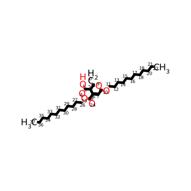 C=CC(C(=O)O)/C(=C\C(=O)OCCCCCCCCCCCC)C(=O)OCCCCCCCCCCCC